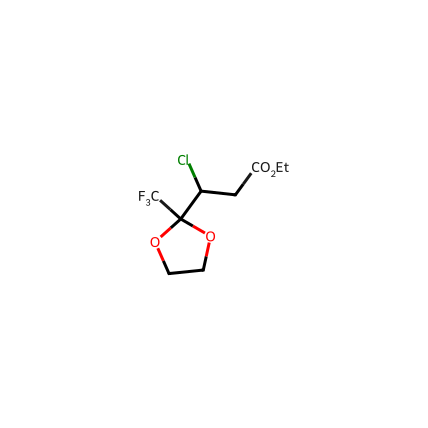 CCOC(=O)CC(Cl)C1(C(F)(F)F)OCCO1